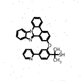 CC(C)(S)c1ccc(-c2ccccn2)cc1Oc1ccc2c3ccccc3n3c4ccccc4nc3c2c1